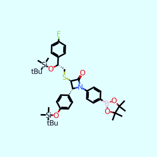 CC1(C)OB(c2ccc(N3C(=O)[C@H](SC[C@H](O[Si](C)(C)C(C)(C)C)c4ccc(F)cc4)[C@H]3c3ccc(O[Si](C)(C)C(C)(C)C)cc3)cc2)OC1(C)C